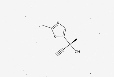 C#C[C@@](C)(O)c1cnc(C)s1